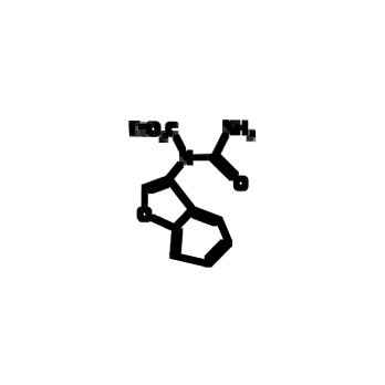 CCOC(=O)N(C(N)=O)c1coc2ccccc12